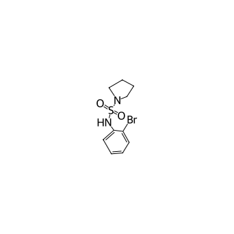 O=S(=O)(Nc1ccccc1Br)N1CCCC1